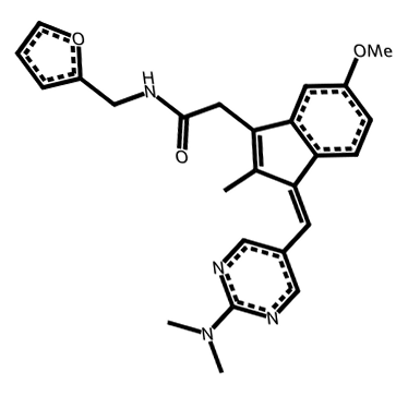 COc1ccc2c(c1)C(CC(=O)NCc1ccco1)=C(C)C2=Cc1cnc(N(C)C)nc1